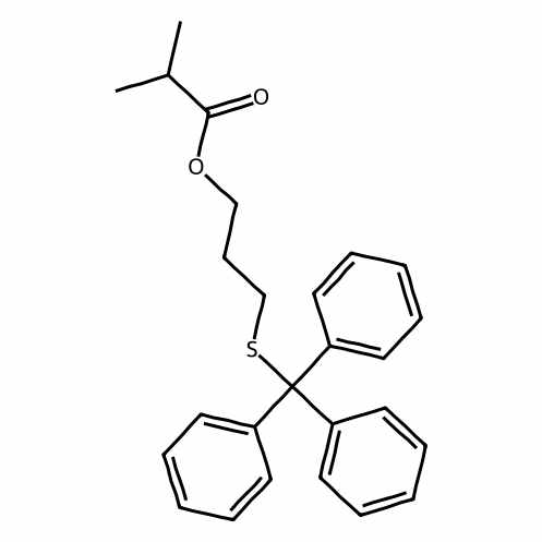 CC(C)C(=O)OCCCSC(c1ccccc1)(c1ccccc1)c1ccccc1